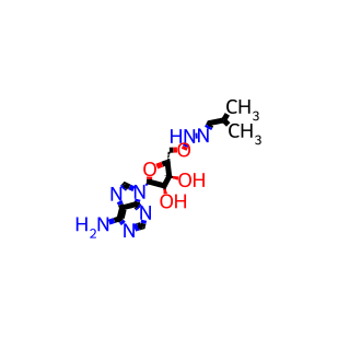 CC(C)C=NNOC[C@H]1O[C@@H](n2cnc3c(N)ncnc32)[C@H](O)[C@@H]1O